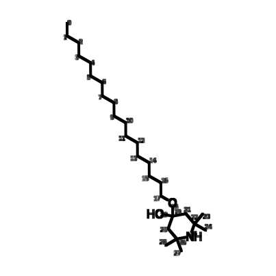 CCCCCCCCCCCCCCCCCCOC1(O)CC(C)(C)NC(C)(C)C1